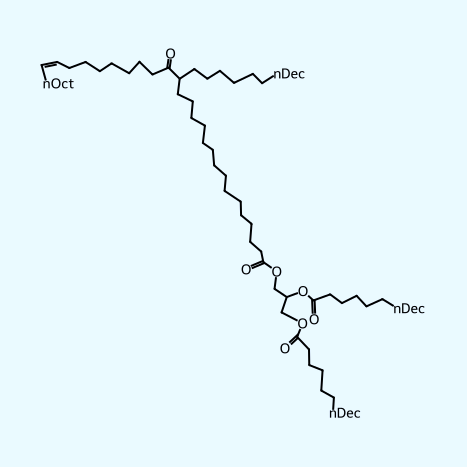 CCCCCCCC/C=C\CCCCCCCC(=O)C(CCCCCCCCCCCCCCCC)CCCCCCCCCCCCCCC(=O)OCC(COC(=O)CCCCCCCCCCCCCCC)OC(=O)CCCCCCCCCCCCCCC